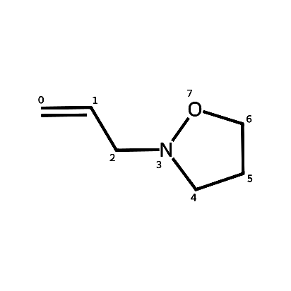 C=CCN1CCCO1